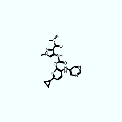 CC(C)N(C)C(=O)c1nn(C)cc1NC(=O)Oc1nc(C2CC2)ccc1Nc1cncnc1